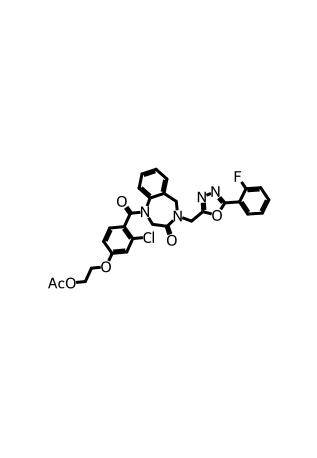 CC(=O)OCCOc1ccc(C(=O)N2CC(=O)N(Cc3nnc(-c4ccccc4F)o3)Cc3ccccc32)c(Cl)c1